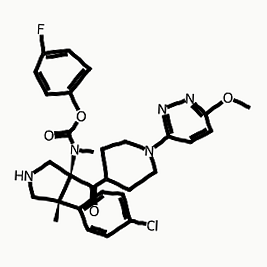 COc1ccc(N2CCC(C(=O)[C@@]3(N(C)C(=O)Oc4ccc(F)cc4)CNC[C@@]3(C)c3ccc(Cl)cc3)CC2)nn1